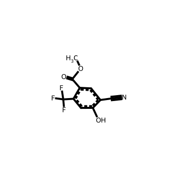 COC(=O)c1cc(C#N)c(O)cc1C(F)(F)F